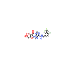 OCC1OC(n2cnc3c(N/N=C/c4ccc(Cl)c(C(F)(F)F)c4)ncnc32)C(O)C1O